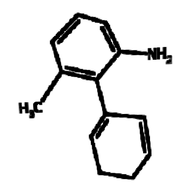 Cc1cccc(N)c1C1=CCCC=C1